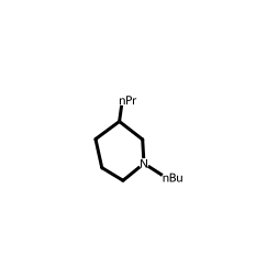 CCCCN1CCCC(CCC)C1